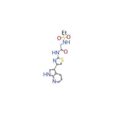 CCS(=O)(=O)NCC(=O)Nc1nc(-c2c[nH]c3ncccc23)cs1